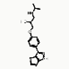 CC(C)NCC(O)COc1ccc(-c2n[nH]c3ccsc23)cc1